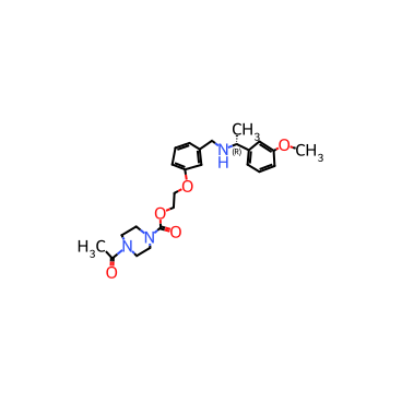 COc1cccc([C@@H](C)NCc2cccc(OCCOC(=O)N3CCN(C(C)=O)CC3)c2)c1